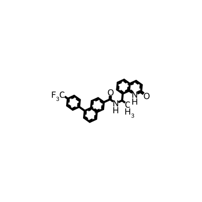 CC(NC(=O)c1ccc2c(-c3ccc(C(F)(F)F)cc3)cccc2c1)c1cccc2ccc(=O)[nH]c12